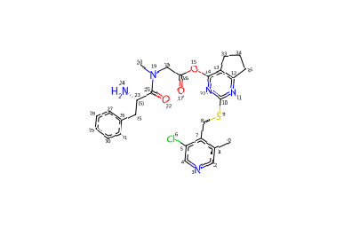 Cc1cncc(Cl)c1CSc1nc2c(c(OC(=O)CN(C)C(=O)[C@@H](N)Cc3ccccc3)n1)CCC2